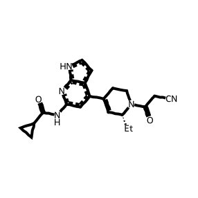 CC[C@@H]1C=C(c2cc(NC(=O)C3CC3)nc3[nH]ccc23)CCN1C(=O)CC#N